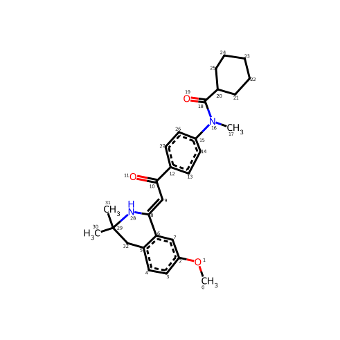 COc1ccc2c(c1)/C(=C/C(=O)c1ccc(N(C)C(=O)C3CCCCC3)cc1)NC(C)(C)C2